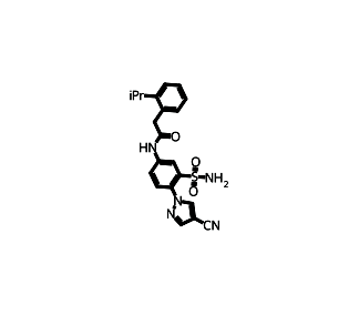 CC(C)c1ccccc1CC(=O)Nc1ccc(-n2cc(C#N)cn2)c(S(N)(=O)=O)c1